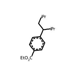 CCOC(=O)c1ccc(C(CC(C)C)C(C)C)cc1